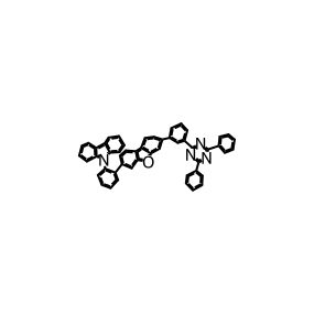 c1ccc(-c2nc(-c3ccccc3)nc(-c3cccc(-c4ccc5c(c4)oc4cc(-c6ccccc6-n6c7ccccc7c7ccccc76)ccc45)c3)n2)cc1